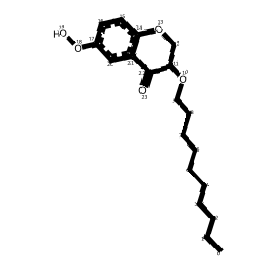 CCCCCCCCCCOC1COc2ccc(OO)cc2C1=O